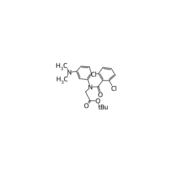 CN(C)c1cccc(N(CC(=O)OC(C)(C)C)C(=O)c2c(Cl)cccc2Cl)c1